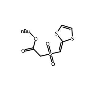 CCCCOC(=O)CS(=O)(=O)C=C1SC=CS1